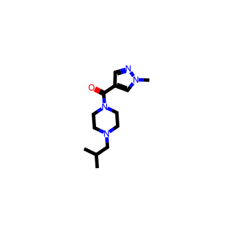 C[C](C)CN1CCN(C(=O)c2cnn(C)c2)CC1